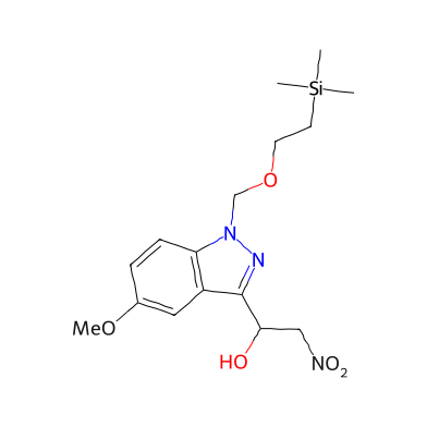 COc1ccc2c(c1)c(C(O)C[N+](=O)[O-])nn2COCC[Si](C)(C)C